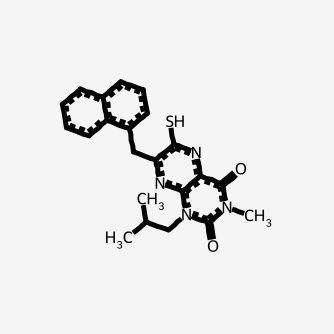 CC(C)Cn1c(=O)n(C)c(=O)c2nc(S)c(Cc3cccc4ccccc34)nc21